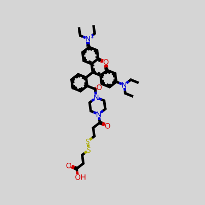 CCN(CC)c1ccc2c(-c3ccccc3C(=O)N3CCN(C(=O)CCSSCCC(=O)O)CC3)c3ccc(=[N+](CC)CC)cc-3oc2c1